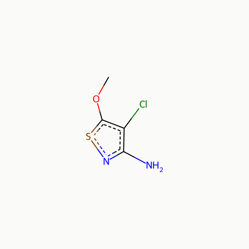 COc1snc(N)c1Cl